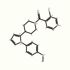 COc1ccc(-n2cccc2C2CCN(C(=O)c3ccncc3F)CC2)cc1